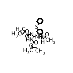 CCC(C)OC(=O)N=C(NC(=O)OC(C)CC)Nc1cc(Sc2ccccc2)ccc1NC(C)=O